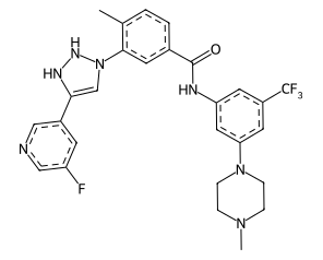 Cc1ccc(C(=O)Nc2cc(N3CCN(C)CC3)cc(C(F)(F)F)c2)cc1N1C=C(c2cncc(F)c2)NN1